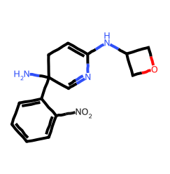 NC1(c2ccccc2[N+](=O)[O-])C=NC(NC2COC2)=CC1